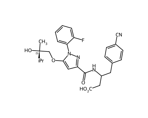 CC(C)[C@](C)(O)COc1cc(C(=O)NC(CC(=O)O)Cc2ccc(C#N)cc2)nn1-c1ccccc1F